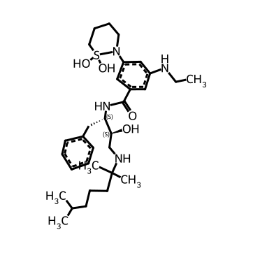 CCNc1cc(C(=O)N[C@@H](Cc2ccccc2)[C@@H](O)CNC(C)(C)CCCC(C)C)cc(N2CCCCS2(O)O)c1